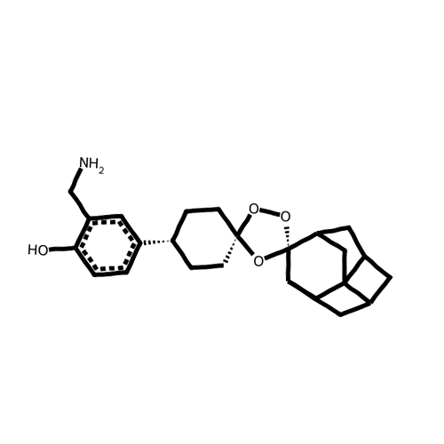 NCc1cc([C@H]2CC[C@]3(CC2)OO[C@]2(O3)C3CC4CC5CC2CC45C3)ccc1O